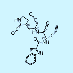 C#CC[C@H](NC(=O)c1cc2ccccc2[nH]1)C(=C=O)N[C@H](C=C=O)C[C@@H]1CCNC1=C=O